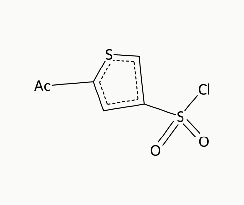 CC(=O)c1cc(S(=O)(=O)Cl)cs1